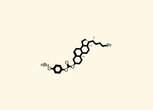 CCCCOc1ccc(OC(=O)OC2CC[C@@]3(C)C(=CCC4C3CC[C@@]3(C)C4CC[C@@H]3[C@H](C)CCCC(C)C)C2)cc1